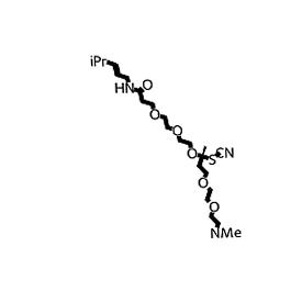 CNCCOCCOCC[C@](C)(OCCOCCOCCC(=O)NC/C=C/C(C)C)SC#N